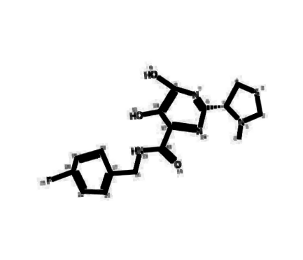 CN1CSC[C@H]1c1nc(O)c(O)c(C(=O)NCc2ccc(F)cc2)n1